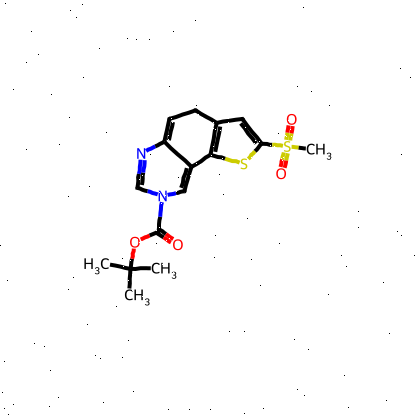 CC(C)(C)OC(=O)N1C=NC2=CCc3cc(S(C)(=O)=O)sc3C2=C1